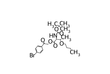 CCCCO[C@H](C)[C@H](NC(=O)OC(C)(C)C)C(=O)OCC(=O)c1ccc(Br)cc1